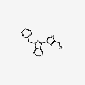 OCc1ncn(-c2nn(Cc3ccccc3)c3ccccc23)n1